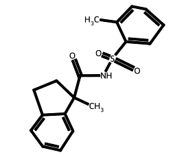 Cc1ccccc1S(=O)(=O)NC(=O)C1(C)CCc2ccccc21